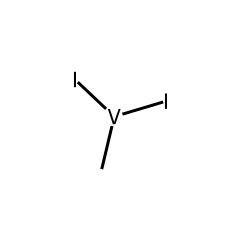 [CH3][V]([I])[I]